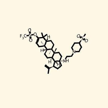 C=C(C)[C@@H]1CC[C@]2(NCCN3CCC(S(C)(=O)=O)CC3)CC[C@]3(C)[C@H](CC[C@@H]4[C@@]5(C)CC=C(OS(=O)(=O)C(F)(F)F)C(C)(C)[C@@H]5CC[C@]43C)[C@@H]12